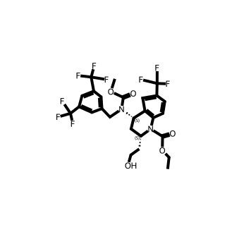 CCOC(=O)N1c2ccc(C(F)(F)F)cc2[C@@H](N(Cc2cc(C(F)(F)F)cc(C(F)(F)F)c2)C(=O)OC)C[C@H]1CCO